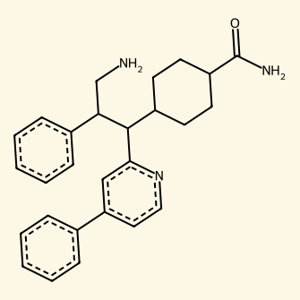 NCC(c1ccccc1)C(c1cc(-c2ccccc2)ccn1)C1CCC(C(N)=O)CC1